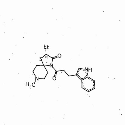 CC[C@H]1SC2(CCN(C)CC2)N(C(=O)CCc2c[nH]c3ccccc23)C1=O